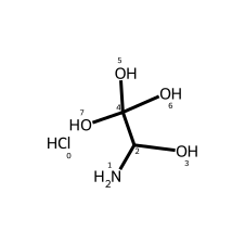 Cl.NC(O)C(O)(O)O